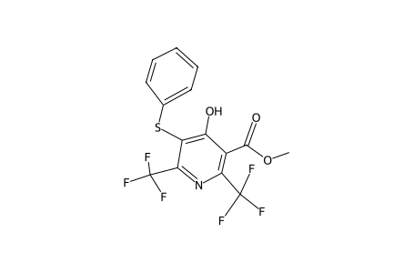 COC(=O)c1c(C(F)(F)F)nc(C(F)(F)F)c(Sc2ccccc2)c1O